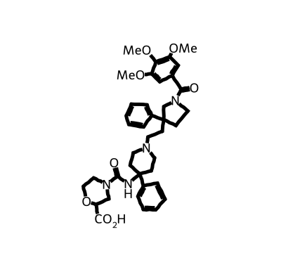 COc1cc(C(=O)N2CCC(CCN3CCC(NC(=O)N4CCOC(C(=O)O)C4)(c4ccccc4)CC3)(c3ccccc3)C2)cc(OC)c1OC